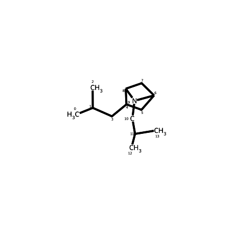 CC(C)CC1CC2CC1N2CC(C)C